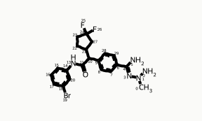 CN(N)/N=C(\N)c1ccc(C(C(=O)Nc2cccc(Br)c2)C2CCC(F)(F)C2)cc1